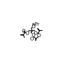 C=C(C)C(=O)OCC(COCCC)(COC(=O)C(=C)C)COC(=O)C(=C)C